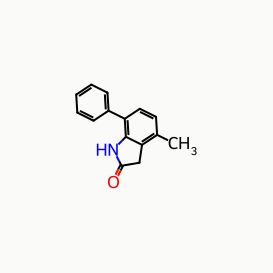 Cc1ccc(-c2ccccc2)c2c1CC(=O)N2